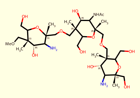 COC[C@]1(C)C(CO)O[C@](C)(COC[C@@]2(C)C(CO)O[C@@](C)(COC[C@]3(C)C(CO)O[C@](C)(CO)C(N)[C@@H]3O)C(NC(C)=O)[C@@H]2O)C(N)[C@@H]1O